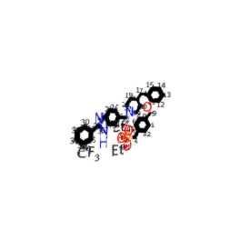 CCOP(=O)(Cc1ccc(COc2ccccc2CC2CCN(Cc3ccc4nc(-c5cccc(C(F)(F)F)c5)[nH]c4c3)CC2)cc1)OCC